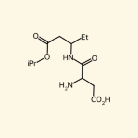 CCC(CC(=O)OC(C)C)NC(=O)C(N)CC(=O)O